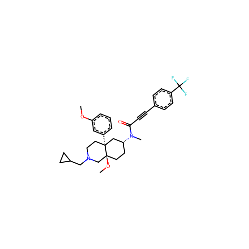 COc1cccc([C@@]23CCN(CC4CC4)C[C@@]2(OC)CC[C@@H](N(C)C(=O)C#Cc2ccc(C(F)(F)F)cc2)C3)c1